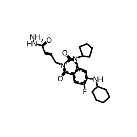 NNC(=O)C=CCn1c(=O)c2cc(F)c(NC3CCCCC3)cc2n(C2CCCC2)c1=O